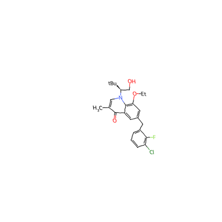 CCOc1cc(Cc2cccc(Cl)c2F)cc2c(=O)c(C)cn([C@H](CO)C(C)(C)C)c12